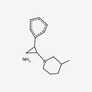 CC1CCCN(C2CC2c2ccccc2)C1.N